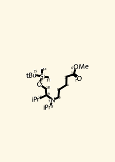 COC(=O)CCCCN(C(C)C)C(CO[Si](C)(C)C(C)(C)C)C(C)C